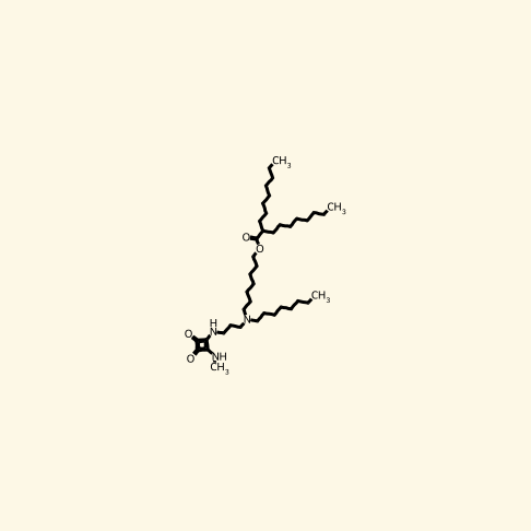 CCCCCCCCC(CCCCCCCC)C(=O)OCCCCCCCN(CCCCCCCC)CCCNc1c(NC)c(=O)c1=O